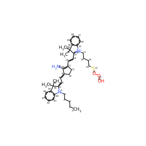 CCCCCN1/C(=C/C=C2\CCC(/C=C/C3=[N+](CCCCSOOO)c4ccccc4C3(C)C)=C2N)C(C)(C)c2ccccc21